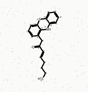 CCCCC=CC(=O)Cc1cccc2c1Nc1ccccc1S2